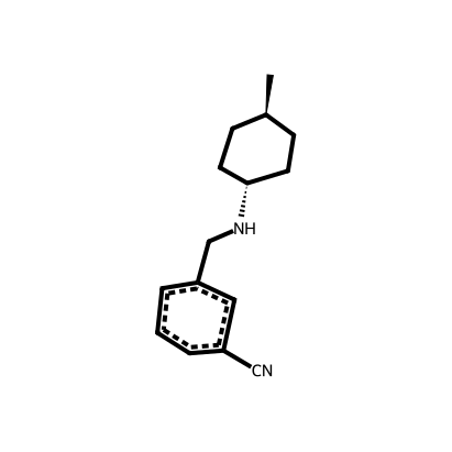 C[C@H]1CC[C@H](NCc2cccc(C#N)c2)CC1